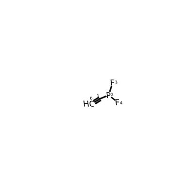 C#CP(F)F